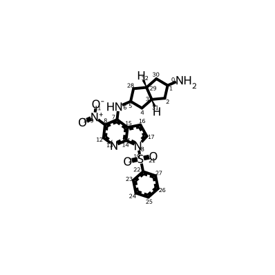 NC1C[C@@H]2CC(Nc3c([N+](=O)[O-])cnc4c3ccn4S(=O)(=O)c3ccccc3)C[C@@H]2C1